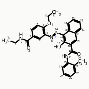 CCNC(=O)c1ccc(OCC)c(/N=N/c2c(O)c(C(=O)Nc3ccccc3C)cc3ccccc23)c1